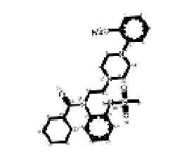 COc1ccccc1N1CCN(CCN(C(=O)C2CCCCC2)c2ccccc2NS(C)(=O)=O)CC1